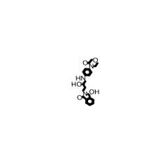 O=C1COCCN1c1ccc(NC[C@H](O)CCN2C(=O)c3ccccc3C2O)cc1